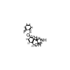 Fc1ccccc1COc1ccc2c(c1)[C@@H]1CNC[C@@H]1OC2